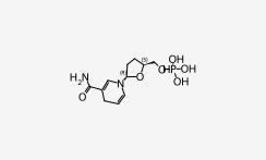 NC(=O)C1=CN([C@H]2CC[C@@H](CO[PH](O)(O)O)O2)C=CC1